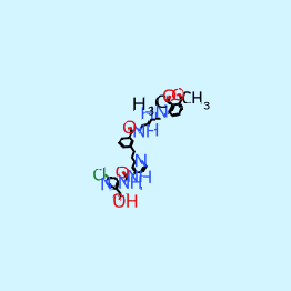 CC(=O)c1cccc(NCCCCNC(=O)c2cccc(CCc3cc(NC(=O)Nc4cc(Cl)ncc4CO)ccn3)c2)c1C(C)=O